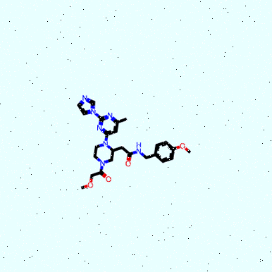 COCC(=O)N1CCN(c2cc(C)nc(-n3ccnc3)n2)C(CC(=O)NCc2ccc(OC)cc2)C1